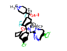 CCC(O)(c1cc(F)c([C@](OC2CCC2)(c2ccc(Cl)cc2)N(C)Cc2ncc(Cl)cn2)c(C=O)c1)C1(F)CCN(C)CC1